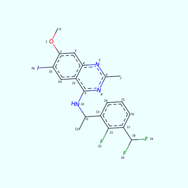 COc1cc2nc(C)nc(NC(C)c3cccc(C(F)F)c3F)c2cc1I